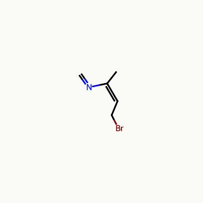 C=N/C(C)=C\CBr